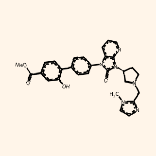 COC(=O)c1ccc(-c2ccc(-n3c(=O)n([C@H]4CCN(Cc5nccn5C)C4)c4ncccc43)cc2)c(O)c1